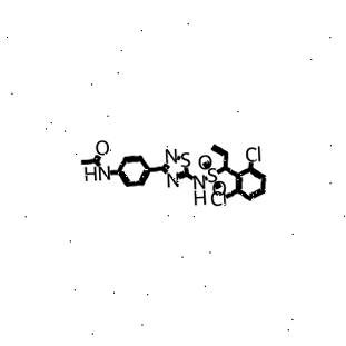 C=CC(c1c(Cl)cccc1Cl)S(=O)(=O)Nc1nc(-c2ccc(NC(C)=O)cc2)ns1